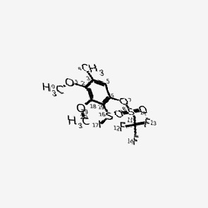 COc1c(C)cc(OS(=O)(=O)C(F)(F)F)c(SI)c1OC